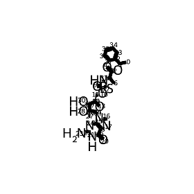 CC(OC(=O)C1CSP(=O)(OC[C@H]2O[C@@H](n3cnc4c(=O)[nH]c(N)nc43)[C@](C)(O)[C@@H]2O)N1)c1ccccc1